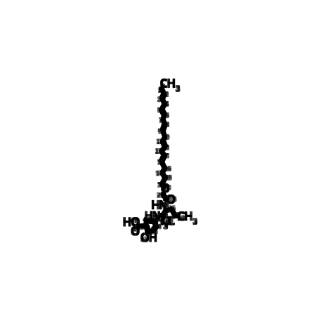 CCC=CCC=CCC=CCC=CCC=CCCCCOCC(=O)NC(CC(C)C)C(=O)Nc1ccc(O)c(C(=O)O)c1